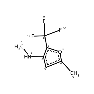 CNc1cc(C)oc1C(F)(F)F